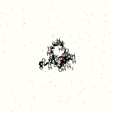 CC[C@H](C)[C@@H]1NC(=O)CNC(=O)[C@H]2Cc3c([nH]c4ccccc34)SC[C@@H](NC(=O)CNC1=O)C(=O)N[C@@H](CC(=O)NCCN1C(=O)C=CC1=O)C(=O)N1C[C@H](O)C[C@H]1C(=O)N[C@@H]([C@@H](C)[C@@H](O)CO)C(=O)N2